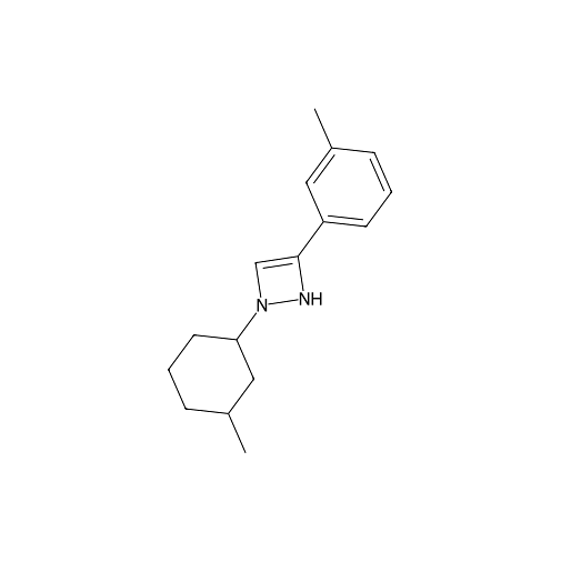 Cc1cccc(-c2cn(C3CCCC(C)C3)[nH]2)c1